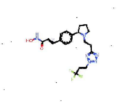 O=C(/C=C/c1ccc(C2CCCN2CCc2nnn(CCC(F)(F)F)n2)cc1)NO